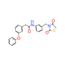 O=C(Cc1cccc(Oc2ccccc2)c1)Nc1cccc(CN2C(=O)CSC2=O)c1